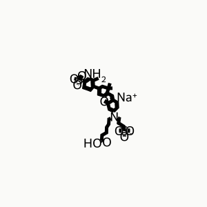 Cc1c(C2=Cc3[o+]c4cc(N(CCCCCC(=O)O)CCCS(=O)(=O)[O-])ccc4cc3C(C)(C)C2)ccc(S(=O)(=O)[O-])c1N.[Na+]